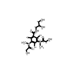 CN(C(=O)CO)c1c(I)c(C(=O)NCC(O)CO)c(I)c(N(C)C(=O)CO)c1I